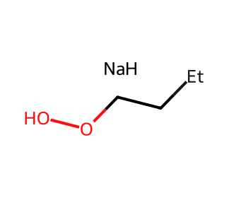 CCCCOO.[NaH]